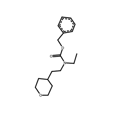 CCN(CCC1CCOCC1)C(=O)OCc1ccccc1